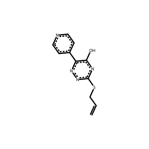 C=CCSc1nnc(-c2ccncc2)c(O)n1